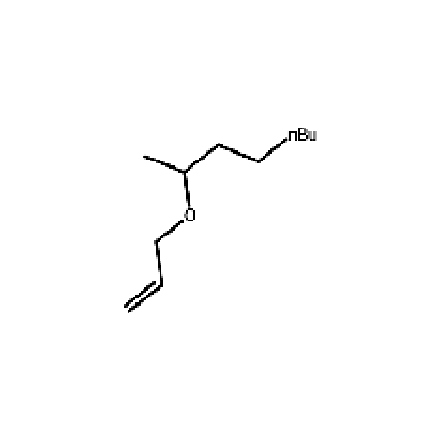 C=CCOC(C)CCCCCC